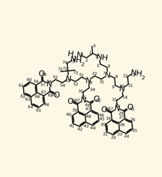 CC(CN)NCCN(CCN(CCN)CCN1C(=O)c2cccc3cccc(c23)C1=O)CCN(CCN1C(=O)c2cccc3cccc(c23)C1=O)CCN(CCN1C(=O)c2cccc3cccc(c23)C1=O)C(C)(C)CN